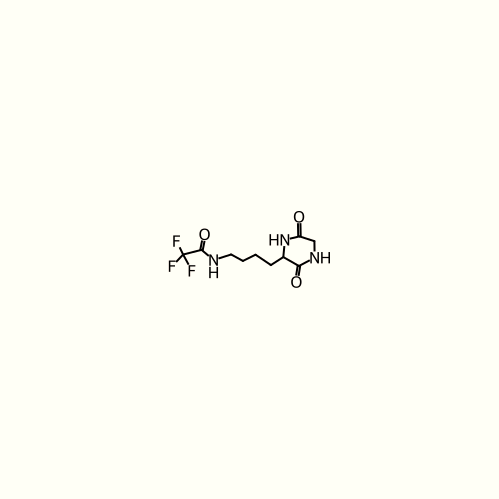 O=C1CNC(=O)C(CCCCNC(=O)C(F)(F)F)N1